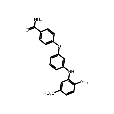 NC(=O)c1ccc(Oc2cccc(Nc3cc(C(=O)O)ccc3N)c2)cc1